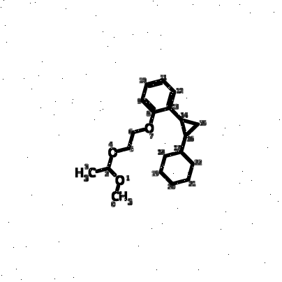 COC(C)OCCOc1ccccc1C1CC1C1CCCCC1